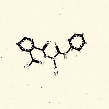 CN(NC(=O)c1ccccc1C(=O)O)C(=S)Nc1ccccc1.[KH]